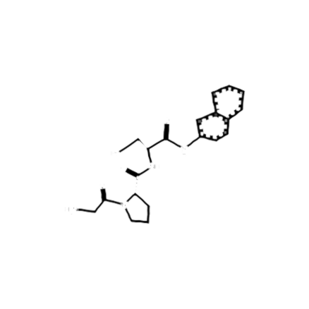 CC(C)C[C@H](NC(=O)[C@@H]1CCCN1C(=O)CN)C(=O)Nc1ccc2ccccc2c1